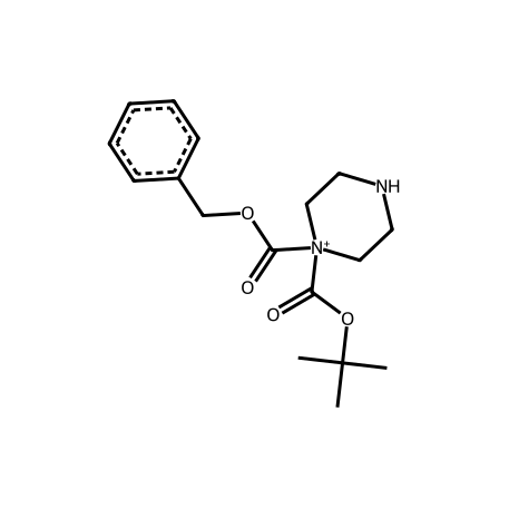 CC(C)(C)OC(=O)[N+]1(C(=O)OCc2ccccc2)CCNCC1